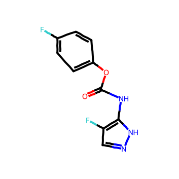 O=C(Nc1[nH]ncc1F)Oc1ccc(F)cc1